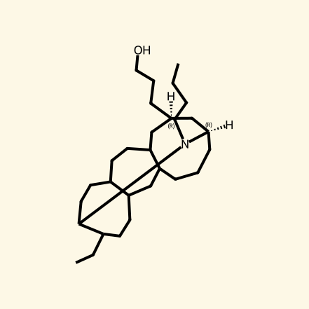 CCCCN1C2CCC3CCC4C[C@@H](CCCO)C[C@H]1CCCC4CC3CCC2CC